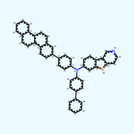 c1ccc(-c2ccc(N(c3ccc(-c4ccc5c(ccc6c7ccccc7ccc56)c4)cc3)c3ccc4c(c3)sc3ccncc34)cc2)cc1